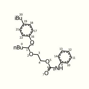 CCCCC(OCCOC(=O)Nc1ccccc1)Oc1ccc(C(C)CC)cc1